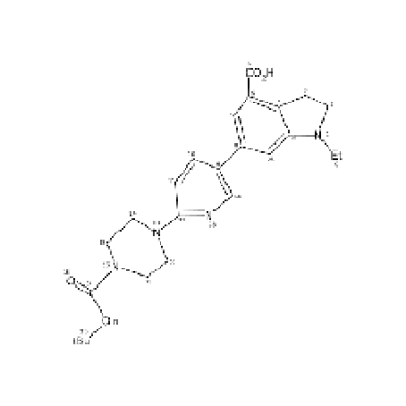 CCN1CCc2c(C(=O)O)cc(-c3ccc(N4CCN(C(=O)OC(C)(C)C)CC4)nc3)cc21